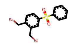 O=S(=O)(c1ccccc1)c1ccc(CBr)c(CBr)c1